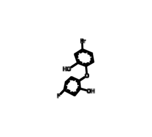 Oc1cc(F)ccc1Oc1ccc(Br)cc1O